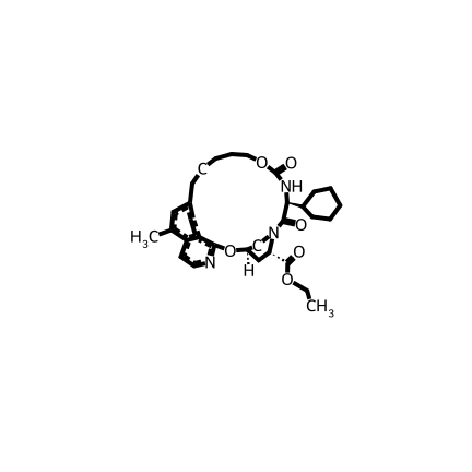 CCOC(=O)[C@@H]1C[C@@H]2CN1C(=O)[C@H](C1CCCCC1)NC(=O)OCCCCCc1cc(C)c3ccnc(c3c1)O2